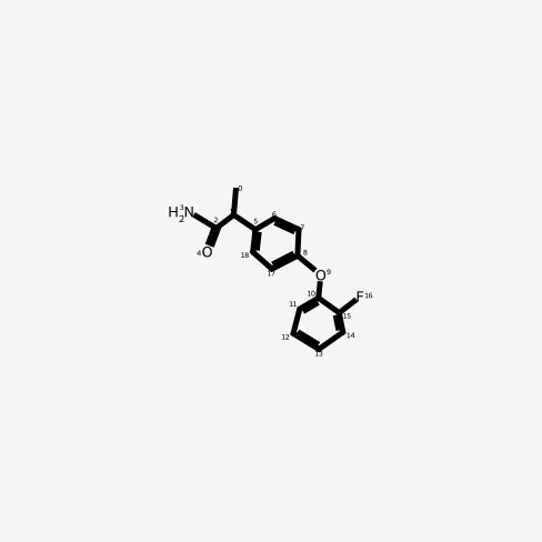 CC(C(N)=O)c1ccc(Oc2ccccc2F)cc1